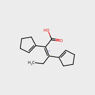 CC/C(C1=CCCC1)=C(/C(=O)O)C1=CCCC1